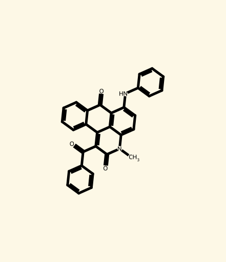 Cn1c(=O)c(C(=O)c2ccccc2)c2c3c(c(Nc4ccccc4)ccc31)C(=O)c1ccccc1-2